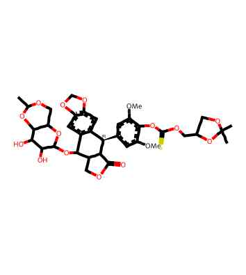 COc1cc([C@@H]2c3cc4c(cc3C(OC3OC5COC(C)OC5C(O)C3O)C3COC(=O)C32)OCO4)cc(OC)c1OC(=S)OCC1COC(C)(C)O1